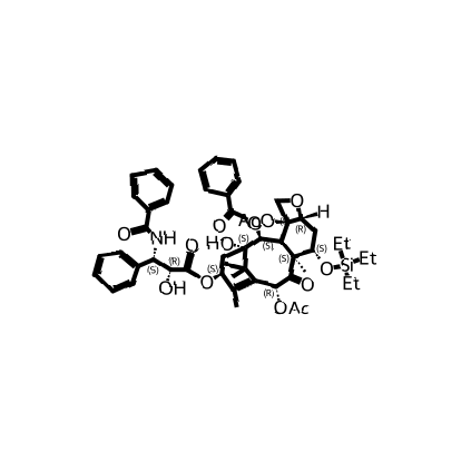 CC[Si](CC)(CC)O[C@H]1C[C@H]2OC[C@@]2(OC(C)=O)C2[C@H](OC(=O)c3ccccc3)[C@]3(O)C[C@H](OC(=O)[C@H](O)[C@@H](NC(=O)c4ccccc4)c4ccccc4)C(C)=C([C@@H](OC(C)=O)C(=O)[C@@]21C)C3(C)C